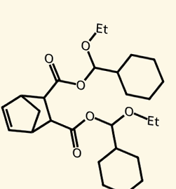 CCOC(OC(=O)C1C2C=CC(C2)C1C(=O)OC(OCC)C1CCCCC1)C1CCCCC1